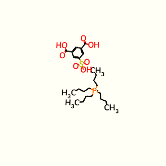 CCCC[P](CCCC)(CCCC)CCCC.O=C(O)c1cc(C(=O)O)cc(S(=O)(=O)O)c1